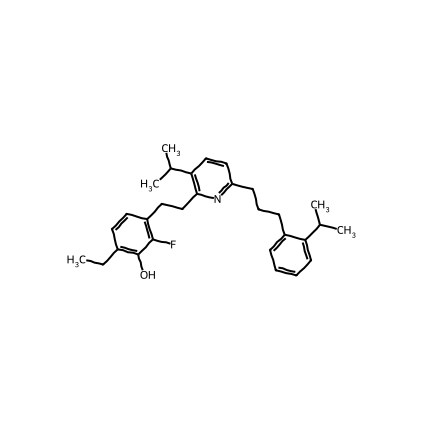 CCc1ccc(CCc2nc(CCCc3ccccc3C(C)C)ccc2C(C)C)c(F)c1O